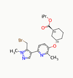 Cc1nc(-c2cnn(C)c2CBr)ccc1O[C@H]1CCC[C@H](C(=O)OC(C)C)C1